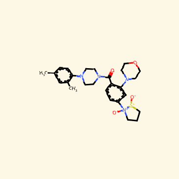 Cc1ccc(N2CCN(C(=O)c3ccc([N+]4([O-])CCC[S+]4[O-])cc3N3CCOCC3)CC2)c(C)c1